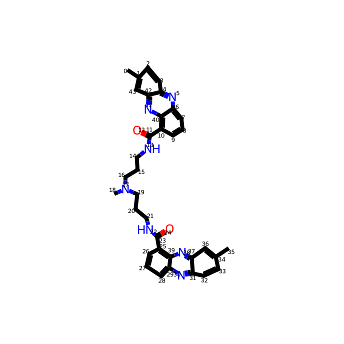 Cc1ccc2nc3cccc(C(=O)NCCCN(C)CCCNC(=O)c4cccc5nc6ccc(C)cc6nc45)c3nc2c1